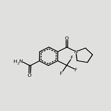 NC(=O)c1ccc(C(=O)N2CCCC2)c(C(F)(F)F)c1